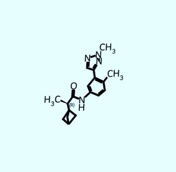 Cc1ccc(NC(=O)[C@H](C)C23CC(C2)C3)cc1-c1cnn(C)n1